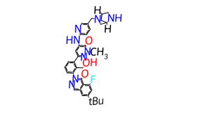 Cn1nc(-c2cccc(-n3ncc4cc(C(C)(C)C)cc(F)c4c3=O)c2CO)cc(Nc2ccc(CN3C[C@@H]4C[C@H]3CN4)cn2)c1=O